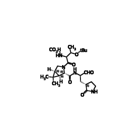 CC(OC(C)(C)C)C(NC(=O)O)C(=O)N1C[C@H]2[C@@H]([C@H]1C(=O)NC(C=O)C[C@@H]1CCNC1=O)C2(C)C